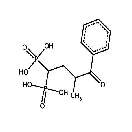 CC(CC(P(=O)(O)O)P(=O)(O)O)C(=O)c1ccccc1